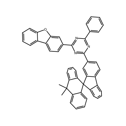 CC1(C)c2ccccc2C2(c3ccccc3-c3ccc(-c4nc(-c5ccccc5)nc(-c5ccc6c(c5)oc5ccccc56)n4)cc32)c2ccccc21